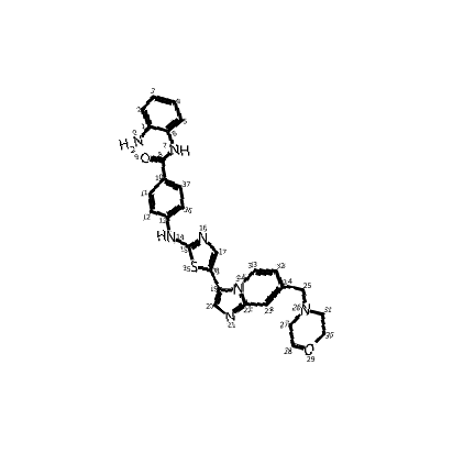 Nc1ccccc1NC(=O)c1ccc(Nc2ncc(-c3cnc4cc(CN5CCOCC5)ccn34)s2)cc1